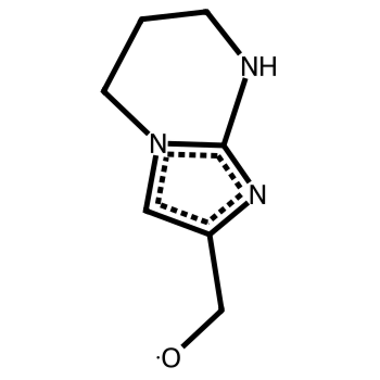 [O]Cc1cn2c(n1)NCCC2